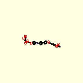 C=CC(=O)OCCCCCCOc1ccc(-c2ccc(/C=C/c3ccc(OCCOC(=O)C(=C)CC(=O)OC)cc3)cc2)cc1